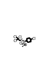 CS(=O)(=O)N(SCC(Cl)(Cl)Cl)c1ccc(Cl)cc1